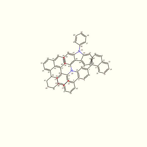 c1ccc(-c2ccc(-c3cccc4ccccc34)cc2N(c2ccccc2-c2cccc3cccc(C4CCCCC4)c23)c2cccc3c2c2ccccc2n3-c2ccccc2)cc1